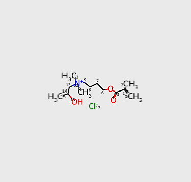 C=C(C)C(=O)OCCCC[N+](C)(C)CC(C)O.[Cl-]